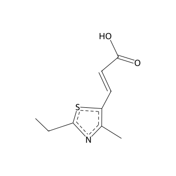 CCc1nc(C)c(/C=C/C(=O)O)s1